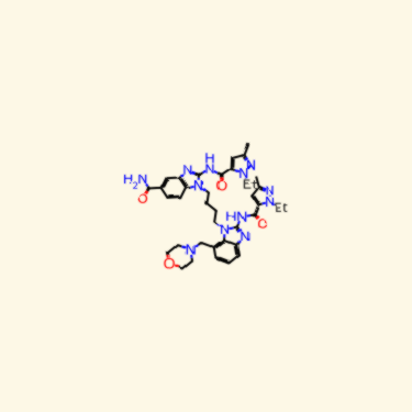 CCn1nc(C)cc1C(=O)Nc1nc2cc(C(N)=O)ccc2n1CCCCn1c(NC(=O)c2cc(C)nn2CC)nc2cccc(CN3CCOCC3)c21